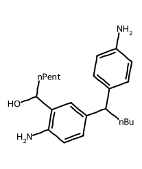 CCCCCC(O)c1cc(C(CCCC)c2ccc(N)cc2)ccc1N